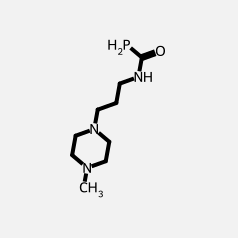 CN1CCN(CCCNC(=O)P)CC1